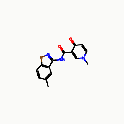 Cc1ccc2snc(NC(=O)c3cn(C)ccc3=O)c2c1